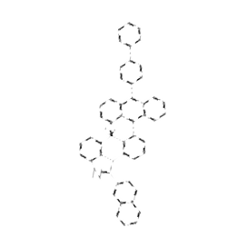 O=C1c2cccc3c2C(C(c2ccc4ccccc4c2)=N3)c2cccc(-c3c4ccccc4c(-c4ccc(-c5ccccc5)cc4)c4ccccc34)c21